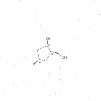 C[C@@H]1C[C@H](CO)[C@H](O)C1